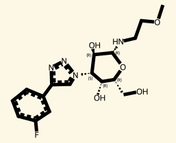 COCCN[C@@H]1O[C@H](CO)[C@H](O)[C@H](n2cc(-c3cccc(F)c3)nn2)[C@H]1O